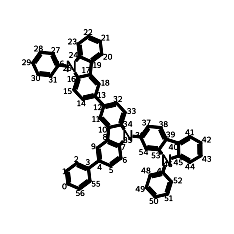 c1ccc(-c2ccc3c(c2)c2cc(-c4ccc5c(c4)c4ccccc4n5-c4ccccc4)ccc2n3-c2ccc3c4ccccc4n(-c4ccccc4)c3c2)cc1